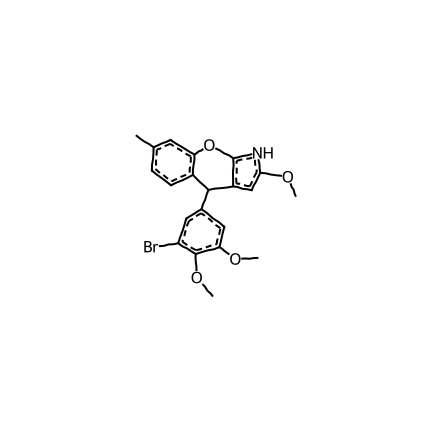 COc1cc2c([nH]1)Oc1cc(C)ccc1C2c1cc(Br)c(OC)c(OC)c1